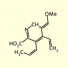 C=CC(/C=C/OC)=C(\C=C/C)C(=N\C)/C(=O)O